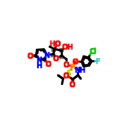 CC(C)OC(=O)C(C)NP(=S)(OC[C@H]1O[C@@H](n2ccc(=O)[nH]c2=O)[C@](C)(O)[C@@H]1O)Oc1ccc(F)c(Cl)c1